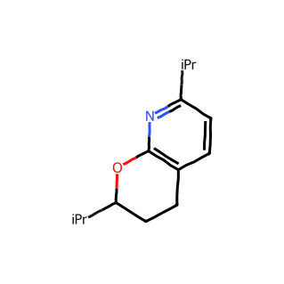 CC(C)c1ccc2c(n1)OC(C(C)C)CC2